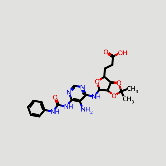 CC1(C)OC2C(CCC(=O)O)OC(Nc3ncnc(NC(=O)Nc4ccccc4)c3N)C2O1